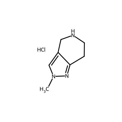 Cl.Cn1cc2c(n1)CCNC2